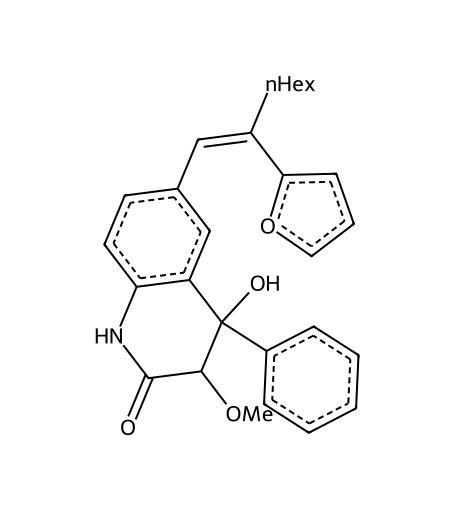 CCCCCCC(=Cc1ccc2c(c1)C(O)(c1ccccc1)C(OC)C(=O)N2)c1ccco1